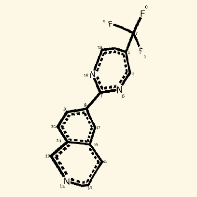 FC(F)(F)c1cnc(-c2ccc3cnccc3c2)nc1